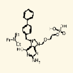 CCN(CC)CC.Nc1nc(O)c2c(n1)n(COCCOP(=O)(O)O)c[n+]2Cc1ccc(-c2ccccc2)cc1